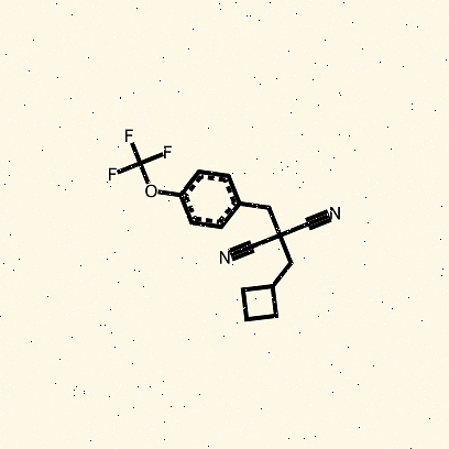 N#CC(C#N)(Cc1ccc(OC(F)(F)F)cc1)CC1CCC1